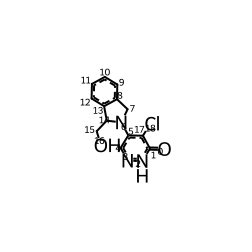 O=c1[nH]ncc(N2Cc3ccccc3C2CO)c1Cl